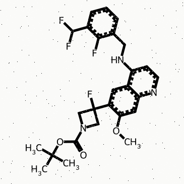 COc1cc2nccc(NCc3cccc(C(F)F)c3F)c2cc1C1(F)CN(C(=O)OC(C)(C)C)C1